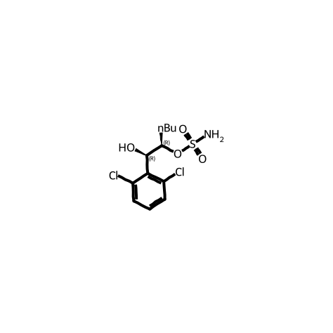 CCCC[C@@H](OS(N)(=O)=O)[C@H](O)c1c(Cl)cccc1Cl